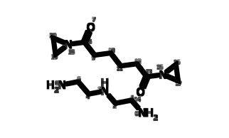 NCCNCCN.O=C(CCCCC(=O)N1CC1)N1CC1